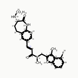 Cc1c(CN(C)C(=O)/C=C/c2cnc3c(c2)CC[C@H](NC(=O)O)C(=O)N3)oc2cccc(F)c12